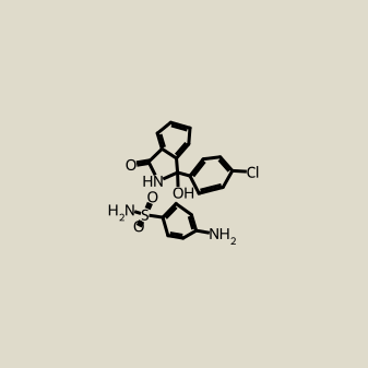 Nc1ccc(S(N)(=O)=O)cc1.O=C1NC(O)(c2ccc(Cl)cc2)c2ccccc21